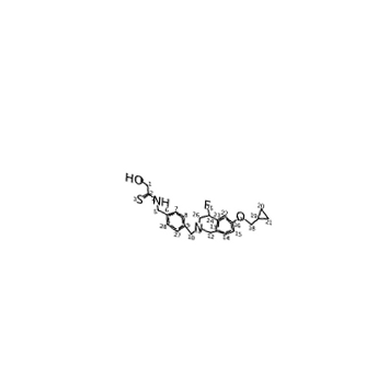 OCC(=S)NCc1ccc(CN2Cc3ccc(OCC4CC4)cc3C(F)C2)cc1